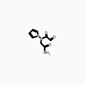 NC(=O)CN(C(=O)C=O)n1cccc1